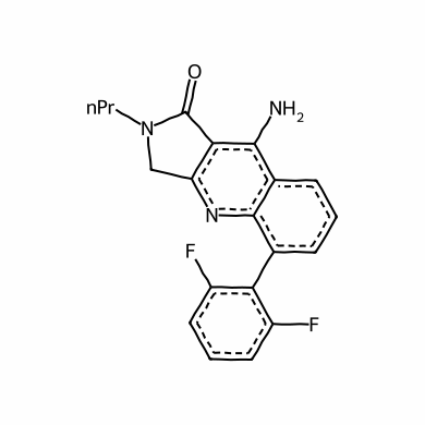 CCCN1Cc2nc3c(-c4c(F)cccc4F)cccc3c(N)c2C1=O